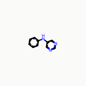 c1ccc(Nc2cncnc2)cc1